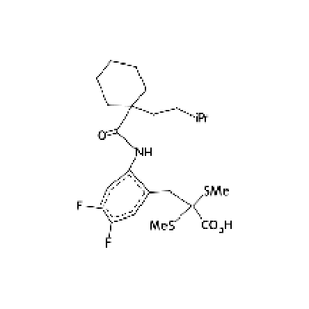 CSC(Cc1cc(F)c(F)cc1NC(=O)C1(CCC(C)C)CCCCC1)(SC)C(=O)O